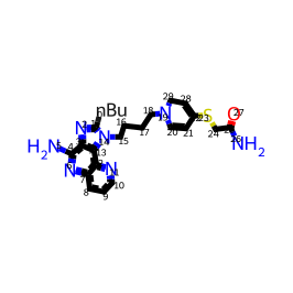 CCCCc1nc2c(N)nc3cccnc3c2n1CCCCN1C=CC(SCC(N)=O)=CC1